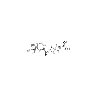 O=C(O)N1CC2(CC(Nc3cccc(C(F)(F)F)c3)C2)C1